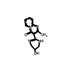 Cc1nc2ccccn2c(=O)c1C1=NCC(O)CN1